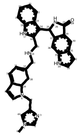 Cn1cnc(CN2C=CC3=CC=C(CNCc4[nH]c5ccccc5c4C4NC(=O)c5cc6cc[nH]c6cc54)CC32)c1